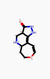 O=C1NNC2=C3C=COCCC3NCC12